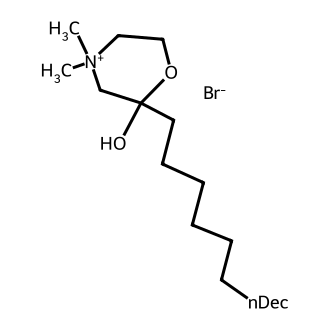 CCCCCCCCCCCCCCCCC1(O)C[N+](C)(C)CCO1.[Br-]